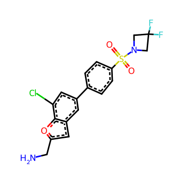 NCc1cc2cc(-c3ccc(S(=O)(=O)N4CC(F)(F)C4)cc3)cc(Cl)c2o1